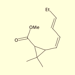 CC/C=C/C=C\C1C(C(=O)OC)C1(C)C